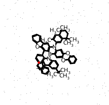 Cc1cc2c(cc1N1c3cc4c(cc3B3c5c1cc1c(oc6ccccc61)c5-c1ccc5sc6ccccc6c5c1N3c1ccc(C(C)(C)C)cc1-c1ccccc1)Oc1ccccc1O4)C(C)(C)CCC2(C)C